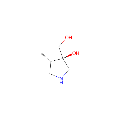 C[C@H]1CNC[C@@]1(O)CO